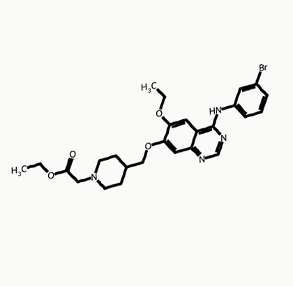 CCOC(=O)CN1CCC(COc2cc3ncnc(Nc4cccc(Br)c4)c3cc2OCC)CC1